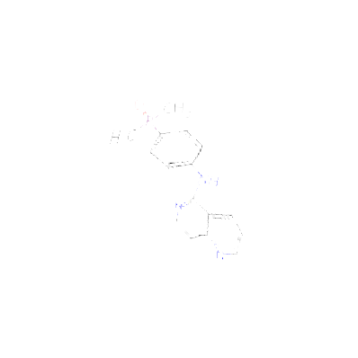 CP(C)(=O)c1ccc(Nc2nccc3ncccc23)cc1